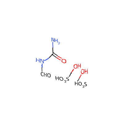 NC(=O)NC=O.O=S(=O)(O)O.O=S(=O)(O)O